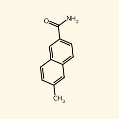 Cc1ccc2cc(C(N)=O)ccc2c1